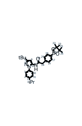 CC(C)c1ccc(-n2nc(C(C)(C)C)cc2NC(=O)Cc2ccc(B3OC(C)(C)C(C)(C)O3)cc2)cc1